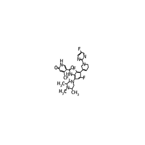 CC1CN(c2cc(F)c(C3=CCCN(c4ncc(F)cn4)C3)c(F)c2NC(=O)c2c[nH]c(=O)cc2C(F)(F)F)CC(C)N1C